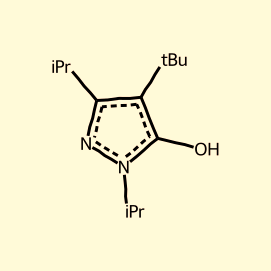 CC(C)c1nn(C(C)C)c(O)c1C(C)(C)C